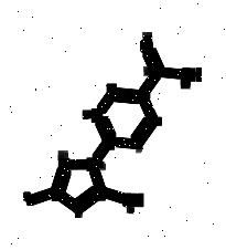 Cc1cc(O)n(-c2ccc(C(=O)O)cn2)n1